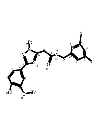 CCn1nc(-c2ccc(Cl)c(OC(C)C)c2)nc1CC(=O)NCc1cc(C)cc(C)n1